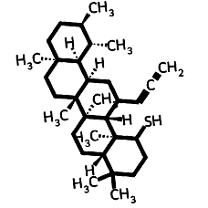 C=C=CC1C[C@@H]2[C@@H]3[C@@H](C)[C@H](C)CC[C@]3(C)CC[C@@]2(C)[C@]2(C)CC[C@H]3C(C)(C)CCC(S)[C@]3(C)[C@@H]12